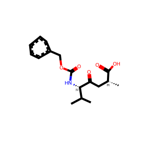 CC(C)[C@H](NC(=O)OCc1ccccc1)C(=O)C[C@@H](C)C(=O)O